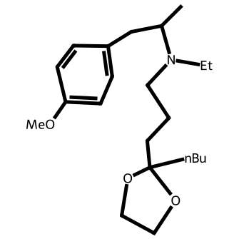 CCCCC1(CCCN(CC)C(C)Cc2ccc(OC)cc2)OCCO1